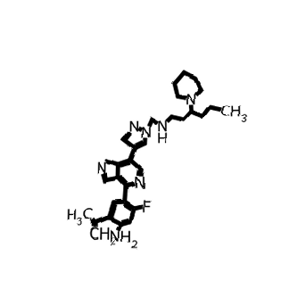 C=C(C)c1cc(-c2ncc(-c3cnn(CNCCC(CCC)N4CCCCC4)c3)c3c2C=NC3)c(F)cc1N